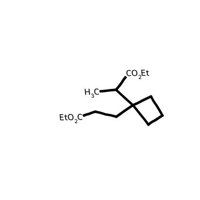 CCOC(=O)CCC1(C(C)C(=O)OCC)CCC1